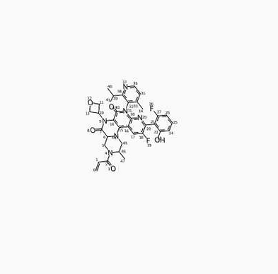 C=CC(=O)N1CC2C(=O)N(C3COC3)c3c(c4cc(F)c(-c5c(O)cccc5F)nc4n(-c4c(C)ccnc4C(C)C)c3=O)N2CC1C